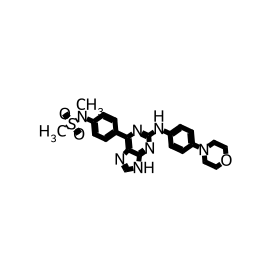 CN(c1ccc(-c2nc(Nc3ccc(N4CCOCC4)cc3)nc3[nH]cnc23)cc1)S(C)(=O)=O